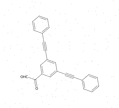 O=[C]C(=O)c1cc(C#Cc2ccccc2)cc(C#Cc2ccccc2)c1